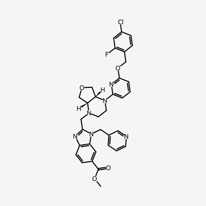 COC(=O)c1ccc2nc(CN3CCN(c4cccc(OCc5ccc(Cl)cc5F)n4)[C@H]4COC[C@H]43)n(Cc3cccnc3)c2c1